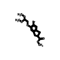 COC(=O)C1Cc2cc(Br)c(OCC(OC)OC)cc2C1